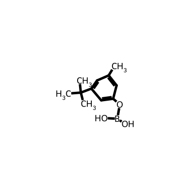 Cc1cc(OB(O)O)cc(C(C)(C)C)c1